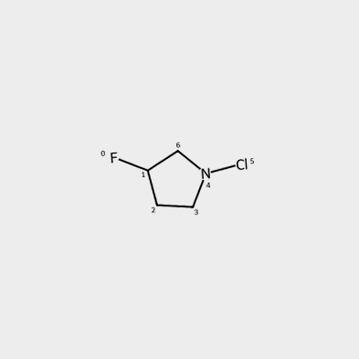 FC1CCN(Cl)C1